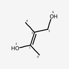 CC(O)=C(C)CO